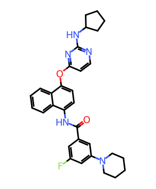 O=C(Nc1ccc(Oc2ccnc(NC3CCCC3)n2)c2ccccc12)c1cc(F)cc(N2CCCCC2)c1